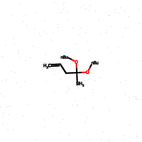 C=CCC([SiH3])(OCCCC)OCCCC